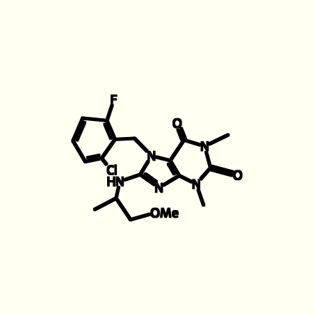 COCC(C)Nc1nc2c(c(=O)n(C)c(=O)n2C)n1Cc1c(F)cccc1Cl